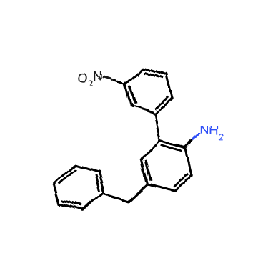 Nc1ccc(Cc2ccccc2)cc1-c1cccc([N+](=O)[O-])c1